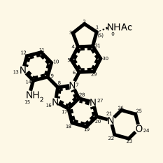 CC(=O)N[C@H]1CCc2cc(-n3c(-c4cccnc4N)nc4ccc(N5CCOCC5)nc43)ccc21